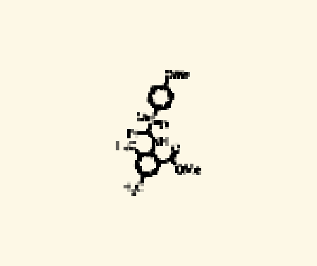 CCC(Nc1c(C)cc(C)cc1C(=O)OC)S(=O)(=O)c1ccc(OC)cc1